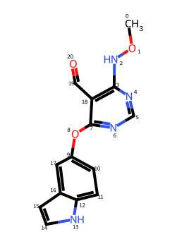 CONc1ncnc(Oc2ccc3[nH]ccc3c2)c1C=O